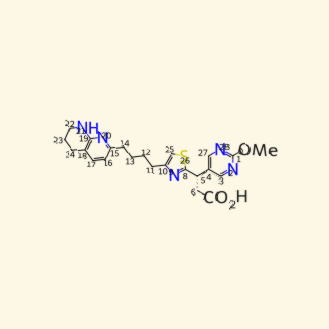 COc1ncc([C@H](CC(=O)O)c2nc(CCCCc3ccc4c(n3)NCCC4)cs2)cn1